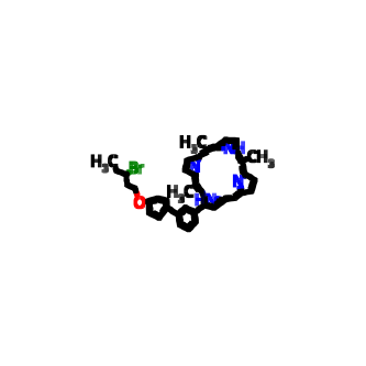 CCC(Br)CCOc1ccc(-c2cccc(-c3cc4cc5nc(c(C)c6ccc([nH]6)c(C)c6nc(c(C)c3[nH]4)C=C6)C=C5)c2)cc1